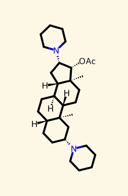 CC(=O)O[C@H]1[C@@H](N2CCCCC2)C[C@H]2[C@@H]3CC[C@H]4CC[C@@H](N5CCCCC5)C[C@]4(C)[C@H]3CC[C@@]21C